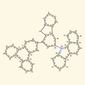 c1ccc2c(c1)Cc1c(-c3ccc4c5ccccc5c5ccccc5c4c3)cc(-n3c4ccccc4c4ccc5ccccc5c43)cc1-2